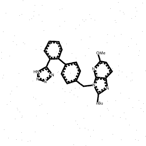 CCCCc1nc2ccc(OC)nc2n1Cc1ccc(-c2ccccc2-c2nnn[nH]2)cc1